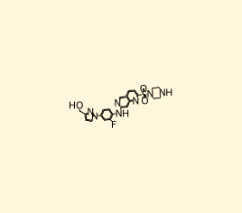 O=S(=O)(c1ccc2cnc(Nc3ccc(-n4ccc(CO)n4)cc3F)cc2n1)N1CCNCC1